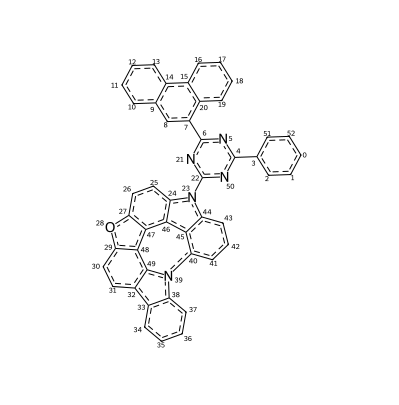 c1ccc(-c2nc(-c3cc4ccccc4c4ccccc34)nc(-n3c4ccc5oc6ccc7c8ccccc8n8c9cccc3c9c4c5c6c78)n2)cc1